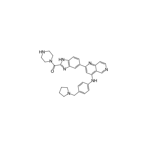 O=C(c1nc2cc(-c3cc(Nc4ccc(CN5CCCC5)cc4)c4cnccc4n3)ccc2[nH]1)N1CCNCC1